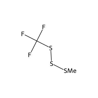 CSSSC(F)(F)F